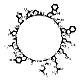 CCCCC1C(=O)N(C)C(CCCC)C(=O)NC(CCCNC(=N)N)C(=O)N[C@H](C(=O)NCC(N)=O)CSCC(=O)NC(Cc2ccc(O)cc2)C(=O)N(C)[C@@H](C)C(=O)N[C@@H](CC(N)=O)C(=O)N2CC(F)(F)CC2C(=O)NC(Cc2cnc[nH]2)C(=O)NC(CC(C)C)C(=O)N2CCCC2C(=O)NC(Cc2c[nH]c3ccccc23)C(=O)N[C@@H](CO)C(=O)NC(Cc2csc3ccccc23)C(=O)N1C